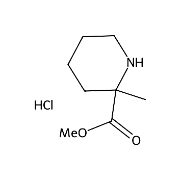 COC(=O)C1(C)CCCCN1.Cl